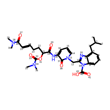 CC(C)Cc1cccc2c1nc(Cn1cccc(NC(=O)C(CCC=CC(=O)N(C)C)OC(=O)N(C)C)c1=O)n2C(=O)O